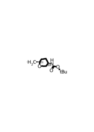 [CH2][C@H]1CC[C@@H](NC(=O)OC(C)(C)C)CO1